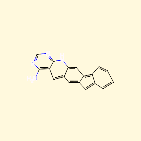 Nc1ncnc2[nH]c3cc4c(cc3cc12)cc1ccccc14